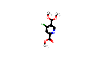 COC(=O)c1cc(Cl)c(C(OC)OC)cn1